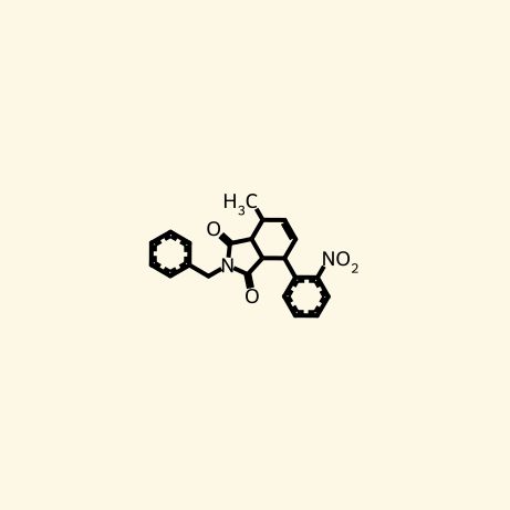 CC1C=CC(c2ccccc2[N+](=O)[O-])C2C(=O)N(Cc3ccccc3)C(=O)C12